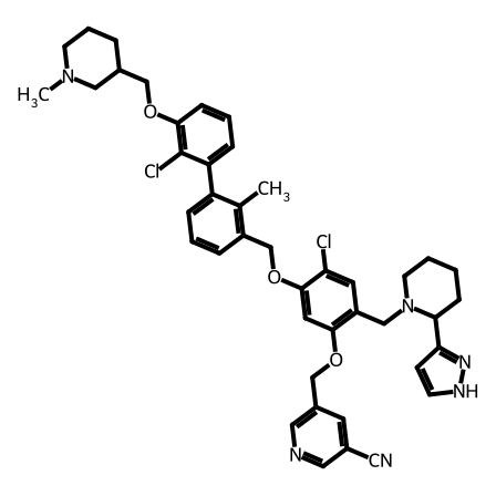 Cc1c(COc2cc(OCc3cncc(C#N)c3)c(CN3CCCCC3c3cc[nH]n3)cc2Cl)cccc1-c1cccc(OCC2CCCN(C)C2)c1Cl